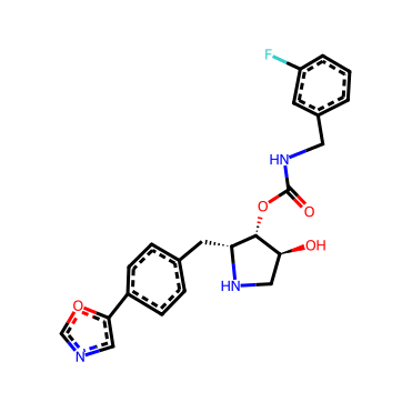 O=C(NCc1cccc(F)c1)O[C@@H]1[C@@H](O)CN[C@@H]1Cc1ccc(-c2cnco2)cc1